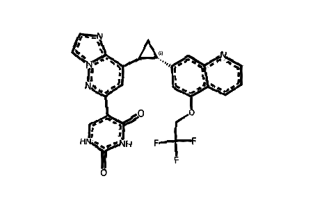 O=c1[nH]cc(-c2cc(C3C[C@@H]3c3cc(OCC(F)(F)F)c4cccnc4c3)c3nccn3n2)c(=O)[nH]1